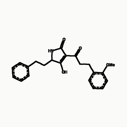 COc1ccccc1CCC(=O)C1=C(O)C(CCc2ccccc2)NC1=O